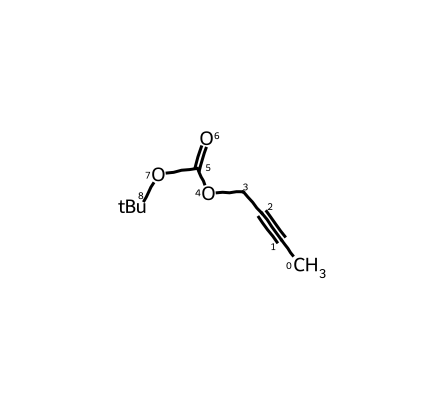 CC#CCOC(=O)OC(C)(C)C